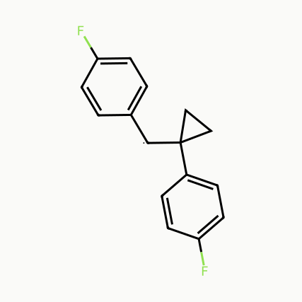 Fc1ccc([CH]C2(c3ccc(F)cc3)CC2)cc1